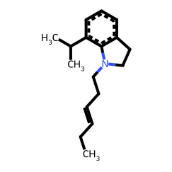 CC/C=C/CCN1CCc2cccc(C(C)C)c21